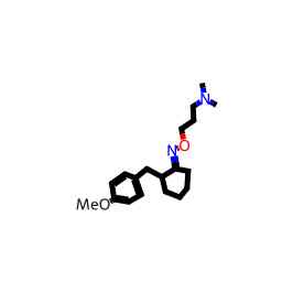 COc1ccc(CC2CCCCC2=NOCCCN(C)C)cc1